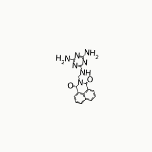 Nc1nc(N)nc(NCN2C(=O)c3cccc4cccc(c34)C2=O)n1